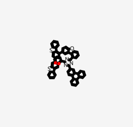 c1ccc(-c2nc(-c3ccc4c5ccccc5c5ccccc5c4c3)nc(-c3cccc4oc5ccc(-c6cc(-c7ccc8c(c7)sc7ccccc78)cc7sc8ccccc8c67)cc5c34)n2)cc1